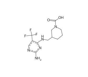 Nc1ncc(C(F)(F)F)c(NCC2CCCN(C(=O)O)C2)n1